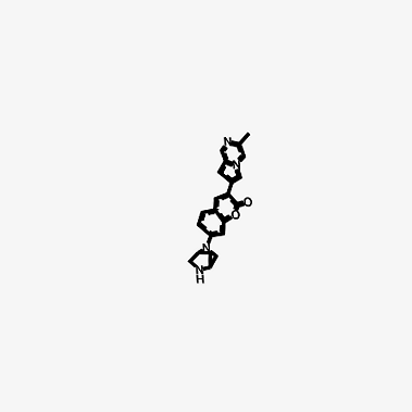 Cc1cn2cc(-c3cc4ccc(N5CC6CC5CN6)cc4oc3=O)cc2cn1